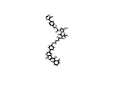 Cc1ncsc1-c1ccc(CNC(=O)[C@@H]2C[C@@H](O)CN2C(=O)C(NC(=O)CCCOc2ccc(-c3cnc4[nH]cc(C(=O)c5c(F)cccc5F)c4c3)cc2)C(C)(C)C)cc1